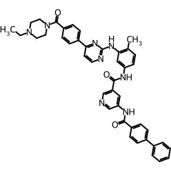 CCN1CCN(C(=O)c2ccc(-c3ccnc(Nc4cc(NC(=O)c5cncc(NC(=O)c6ccc(-c7ccccc7)cc6)c5)ccc4C)n3)cc2)CC1